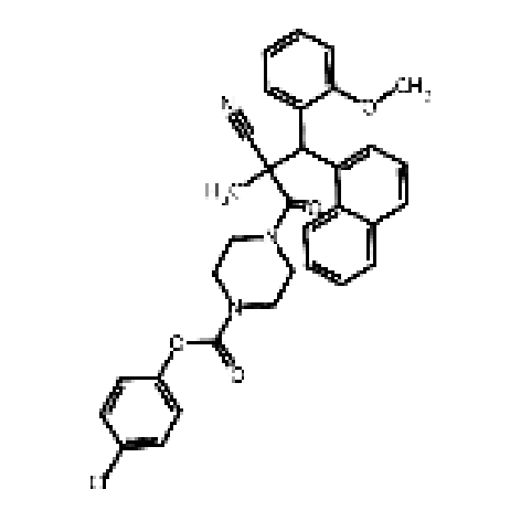 COc1ccccc1C(c1cccc2ccccc12)C(C)(C#N)C(=O)N1CCN(C(=O)Oc2ccc(Cl)cc2)CC1